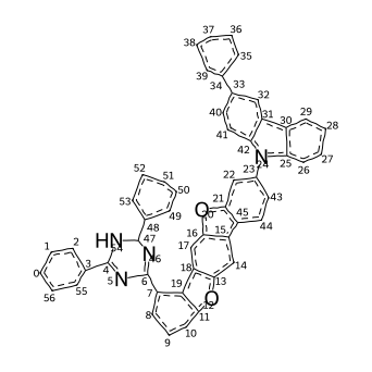 c1ccc(C2=NC(c3cccc4oc5cc6c(cc5c34)oc3cc(-n4c5ccccc5c5cc(-c7ccccc7)ccc54)ccc36)=NC(c3ccccc3)N2)cc1